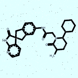 CC1CCC(C2CCCCC2)N(CC(=O)Nc2ccc3c(c2)CC2(C3)C(=O)Nc3ncccc32)C1=O